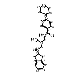 O=C(NC[C@H](O)CNC1Cc2ccccc2C1)c1ccc(N2CCOCC2)nc1